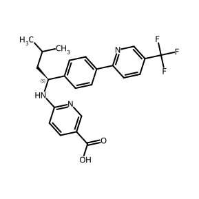 CC(C)C[C@H](Nc1ccc(C(=O)O)cn1)c1ccc(-c2ccc(C(F)(F)F)cn2)cc1